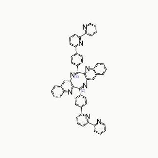 c1ccc(-c2cccc(-c3ccc(/C4=N/c5cc6ccccc6nc5/C(c5ccc(-c6cccc(-c7ccccn7)n6)cc5)=N\c5cc6ccccc6nc54)cc3)n2)nc1